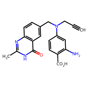 C#CCN(Cc1ccc2nc(C)[nH]c(=O)c2c1)c1ccc(C(=O)O)c(N)c1